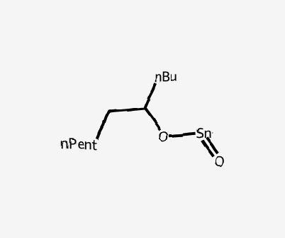 CCCCCCC(CCCC)[O][Sn]=[O]